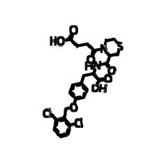 O=C(O)CCC(=O)N1CCSCC1C(=O)NC(Cc1ccc(OCc2c(Cl)cccc2Cl)cc1)C(=O)O